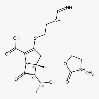 C[C@@H](O)[C@H]1C(=O)N2C(C(=O)O)=C(SCCNC=N)C[C@H]12.O.O=C1NCCO1